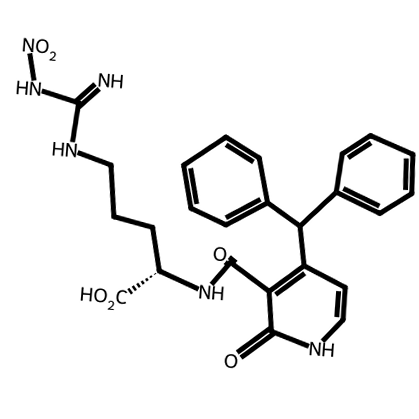 N=C(NCCC[C@H](NC(=O)c1c(C(c2ccccc2)c2ccccc2)cc[nH]c1=O)C(=O)O)N[N+](=O)[O-]